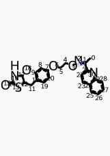 C/C(=N/OCCOc1ccc(CC2SC(=O)NC2=O)cc1)c1ccc2ccccc2n1